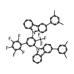 Cc1cc(C)cc(-c2ccc3c(c2)c2ccccc2n3-c2cc(-c3c(F)c(F)c(F)c(F)c3F)cc(-n3c4ccccc4c4cc(-c5cc(C)cc(C)c5)ccc43)c2C(F)(F)F)c1